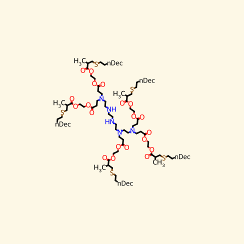 CCCCCCCCCCCCSCC(C)C(=O)OCCOC(=O)CCN(CCNCCNCCN(CCC(=O)OCCOC(=O)C(C)CSCCCCCCCCCCCC)CCN(CCC(=O)OCCOC(=O)C(C)CSCCCCCCCCCCCC)CCC(=O)OCCOC(=O)C(C)CSCCCCCCCCCCCC)CCC(=O)OCCOC(=O)C(C)CSCCCCCCCCCCCC